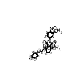 Cc1cc(N2C(=O)[C@@H]3[C@H](C2=O)[C@@]2(C)CC[C@]3(CCOc3ccc(F)cc3)O2)ccc1[N+](=O)[O-]